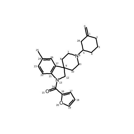 C=C1CCCC(N2CCC3(CC2)CN(C(=O)c2ccco2)c2ccc(C)cc23)C1